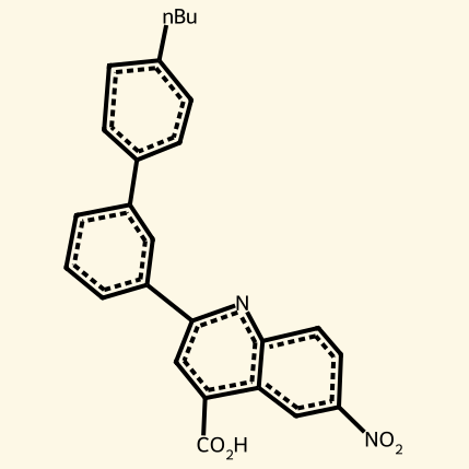 CCCCc1ccc(-c2cccc(-c3cc(C(=O)O)c4cc([N+](=O)[O-])ccc4n3)c2)cc1